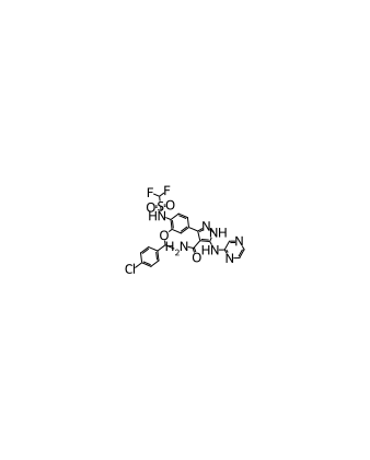 CC(Oc1cc(-c2n[nH]c(Nc3cnccn3)c2C(N)=O)ccc1NS(=O)(=O)C(F)F)c1ccc(Cl)cc1